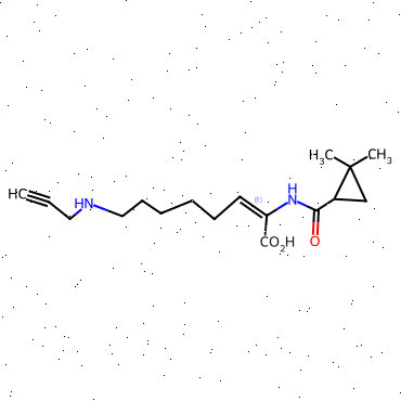 C#CCNCCCCC/C=C(/NC(=O)C1CC1(C)C)C(=O)O